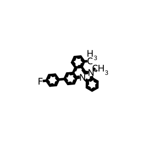 Cc1cccc2c3cc(-c4ccc(F)cc4)ccc3n3c4ccccc4[n+](C)c3c12